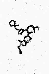 C#CCN1Cc2ncc(-c3nc(CF)ccc3-c3cnn(CC4(C)CCCC4)c3)cc2C1=C